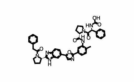 Cc1ccc(-c2ncc(-c3ccc4nc([C@@H]5CCCN5C(=O)Cc5ccccc5)[nH]c4c3)o2)cc1NC(=O)[C@@H]1CCCN1C(=O)[C@H](NC(=O)O)c1ccccc1